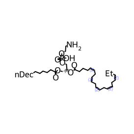 CC/C=C\C/C=C\C/C=C\C/C=C\C/C=C\CCCC(=O)O[C@H](COC(=O)CCCCCCCCCCCCCCC)COP(=O)(O)OCCN